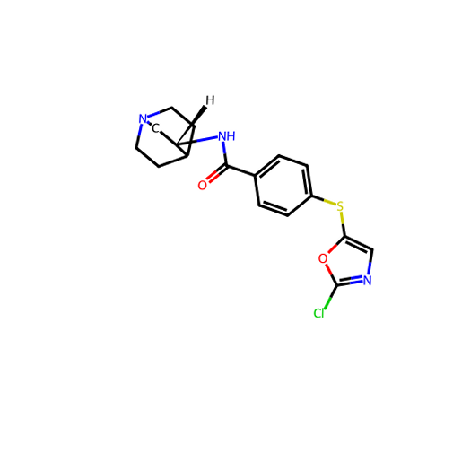 O=C(N[C@H]1CN2CCC1CC2)c1ccc(Sc2cnc(Cl)o2)cc1